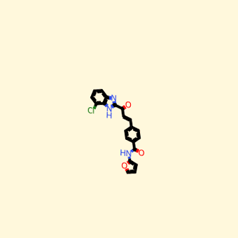 O=C(Nc1ccco1)c1ccc(C=CC(=O)c2nc3cccc(Cl)c3[nH]2)cc1